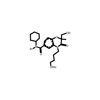 COCCCCN1C(=O)C(C)(CO)Oc2ccc(C(=O)N(C(C)C)C3CCCCC3)cc21